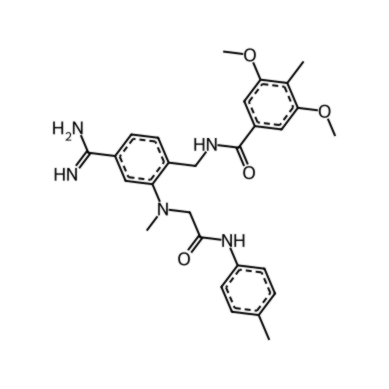 COc1cc(C(=O)NCc2ccc(C(=N)N)cc2N(C)CC(=O)Nc2ccc(C)cc2)cc(OC)c1C